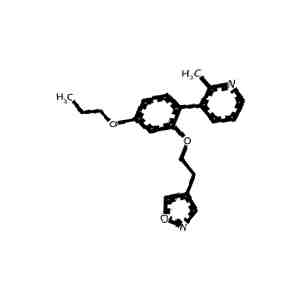 CCCOc1ccc(-c2cccnc2C)c(OCCc2cnoc2)c1